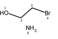 N.OCCBr